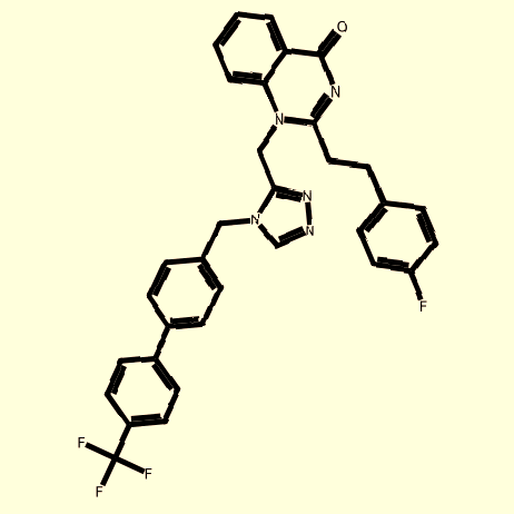 O=c1nc(CCc2ccc(F)cc2)n(Cc2nncn2Cc2ccc(-c3ccc(C(F)(F)F)cc3)cc2)c2ccccc12